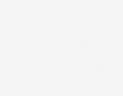 CC/C(=C(/c1ccc(C=O)cc1)c1ccc2c(cnn2C2CCCCO2)c1)c1ccc(F)cc1Cl